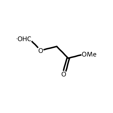 COC(=O)CO[C]=O